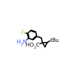 CC(C)(C)C1CC1(Cc1ccc(F)c(N)c1)C(=O)O